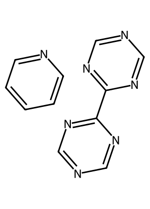 c1ccncc1.c1ncnc(-c2ncncn2)n1